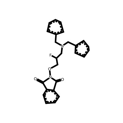 O=C1c2ccccc2C(=O)N1OCC(F)CN(Cc1ccccc1)Cc1ccccc1